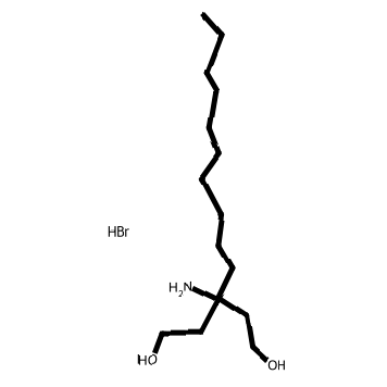 Br.CCCCCCCCCCC(N)(CCO)CCO